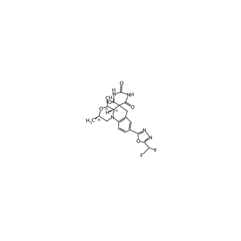 C[C@@H]1CN2c3ccc(-c4nnc(C(F)F)o4)cc3CC3(C(=O)NC(=O)NC3=O)[C@H]2[C@H](C)O1